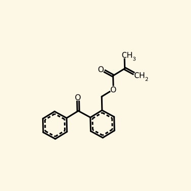 C=C(C)C(=O)OCc1ccccc1C(=O)c1ccccc1